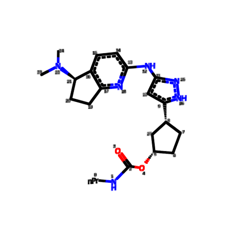 CCCNC(=O)O[C@H]1CC[C@@H](c2cc(Nc3ccc4c(n3)CC[C@H]4N(C)C)n[nH]2)C1